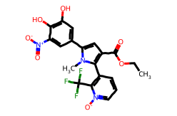 CCOC(=O)c1cc(-c2cc(O)c(O)c([N+](=O)[O-])c2)n(C)c1-c1ccc[n+]([O-])c1C(F)(F)F